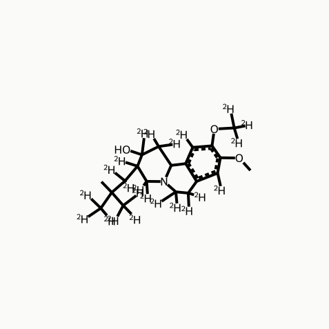 [2H]c1c(OC([2H])([2H])[2H])c(OC)c([2H])c2c1C1N(C([2H])([2H])C2([2H])[2H])C([2H])([2H])C([2H])(C([2H])([2H])C(C)(C([2H])([2H])[2H])C([2H])([2H])[2H])C([2H])(O)C1([2H])[2H]